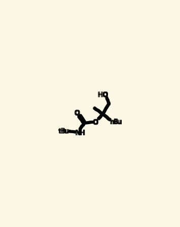 CCCCC(C)(CO)OC(=O)NC(C)(C)C